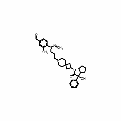 C=NN(CCCN1CCC2(CC1)CC(OC(=O)C(O)(c1ccccc1)C1CCCC1)C2)c1ccc(C=O)cc1C